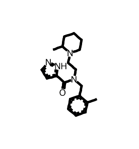 Cc1ccccc1CN(CCN1CCCCC1C)C(=O)c1ccn[nH]1